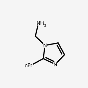 CCCc1nccn1CN